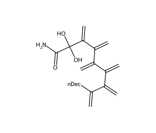 C=C(CCCCCCCCCC)C(=C)C(=C)C(=C)C(=C)C(=C)C(O)(O)C(N)=O